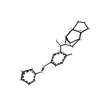 Cc1ccc(/N=N/c2ccccc2)cc1C(C)C1CC2CC1C1CCCC21